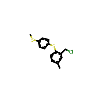 CSc1ccc(Sc2ccc(C)cc2CCl)cc1